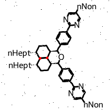 CCCCCCCCCc1cnc(-c2ccc(C(OC(c3ccc(-c4ncc(CCCCCCCCC)cn4)cc3)[C@H]3CC[C@H](CCCCCCC)CC3)[C@H]3CC[C@H](CCCCCCC)CC3)cc2)nc1